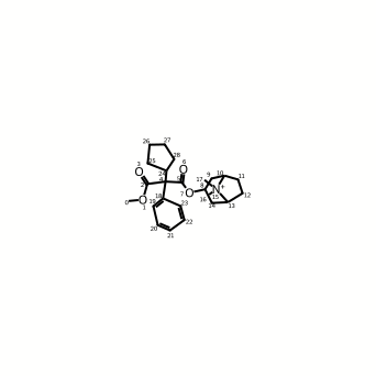 COC(=O)C(C(=O)OC1CC2CCC(C1)[N+]2(C)C)(c1ccccc1)C1CCCC1